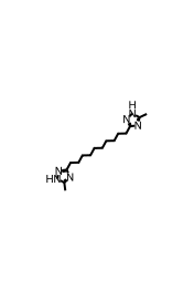 Cc1nc(CCCCCCCCCCc2n[nH]c(C)n2)n[nH]1